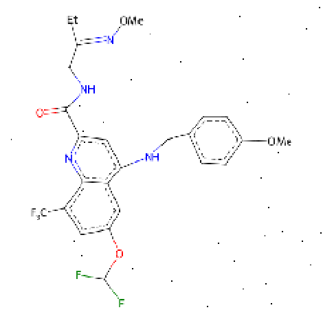 CCC(CNC(=O)c1cc(NCc2ccc(OC)cc2)c2cc(OC(F)F)cc(C(F)(F)F)c2n1)=NOC